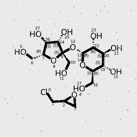 ClCC1CO1.OC[C@H]1O[C@@](CO)(O[C@H]2O[C@H](CO)[C@@H](O)[C@H](O)[C@H]2O)[C@@H](O)[C@@H]1O